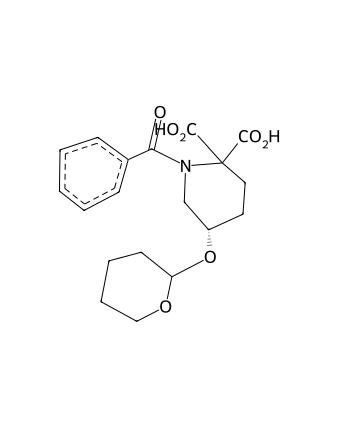 O=C(c1ccccc1)N1C[C@@H](OC2CCCCO2)CCC1(C(=O)O)C(=O)O